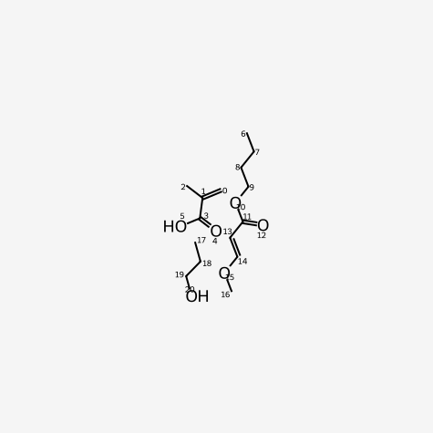 C=C(C)C(=O)O.CCCCOC(=O)C=COC.CCCO